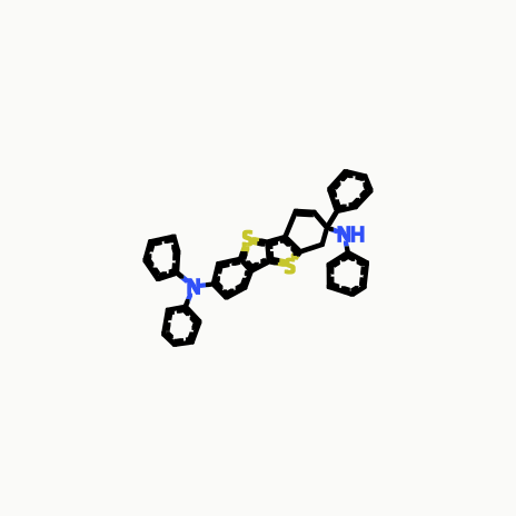 C1=CC(Nc2ccccc2)(c2ccccc2)Cc2sc3c(sc4cc(N(c5ccccc5)c5ccccc5)ccc43)c21